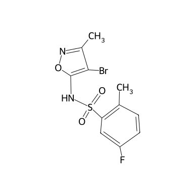 Cc1ccc(F)cc1S(=O)(=O)Nc1onc(C)c1Br